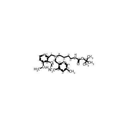 COc1ccnc(CN(CCCCNC(=O)OC(C)(C)C)Cc2ncc(C)cc2C)c1OC